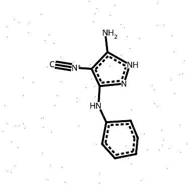 [C-]#[N+]c1c(Nc2ccccc2)n[nH]c1N